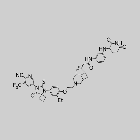 CCc1cc(N2C(=S)N(c3cnc(C#N)c(C(F)(F)F)c3)C(=O)C23CCC3)ccc1OCCN1CC2CC3C2C(C[C@H]3CC(=O)Nc2cccc(NC3CCC(=O)NC3=O)c2)C1